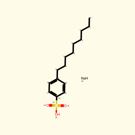 CCCCCCCCCc1ccc(S(=O)(=O)O)cc1.[NaH]